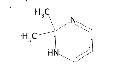 [CH2]C1(C)N=CC=CN1